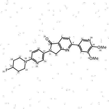 COc1cc(-c2ccc3c(n2)CN(c2ccc(N4CCC(F)CC4)nc2)C3=O)cnc1OC